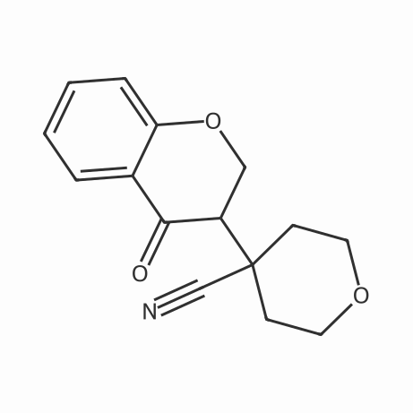 N#CC1(C2COc3ccccc3C2=O)CCOCC1